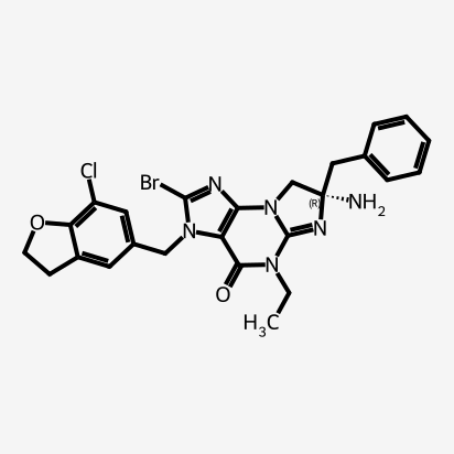 CCN1C(=O)c2c(nc(Br)n2Cc2cc(Cl)c3c(c2)CCO3)N2C[C@@](N)(Cc3ccccc3)N=C12